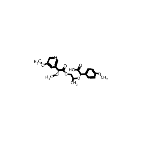 COc1ccc([C@H](OC(C)COC(=O)[C@@H](OC)c2cncc(OC)c2)C(=O)O)cc1